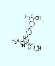 Bc1cnn2c(NCc3cccnc3)cc(C3CCN(C4CCC(C(C)C)CC4)CC3)nc12